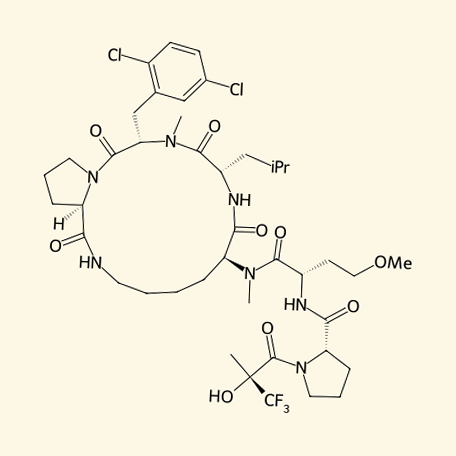 COCC[C@H](NC(=O)[C@@H]1CCCN1C(=O)[C@@](C)(O)C(F)(F)F)C(=O)N(C)[C@H]1CCCCNC(=O)[C@H]2CCCN2C(=O)[C@H](Cc2cc(Cl)ccc2Cl)N(C)C(=O)[C@H](CC(C)C)NC1=O